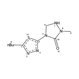 CCCCc1nnc(N2CNN(C)C2=O)s1